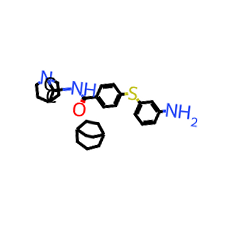 C1CC2CCC(C1)CC2.Nc1cccc(Sc2ccc(C(=O)NC3CC4CCN(CC4)C3)cc2)c1